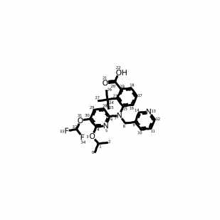 CC(C)Oc1nc(N(Cc2cccnc2)c2cccc(C(=O)O)c2C(C)(C)C)ccc1OC(F)F